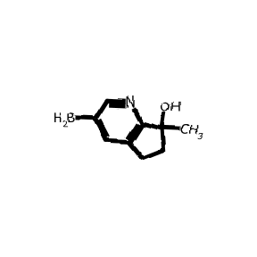 Bc1cnc2c(c1)CCC2(C)O